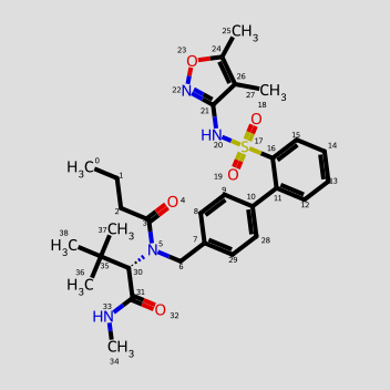 CCCC(=O)N(Cc1ccc(-c2ccccc2S(=O)(=O)Nc2noc(C)c2C)cc1)[C@H](C(=O)NC)C(C)(C)C